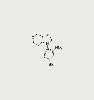 CC[C@@H](C)c1ccc(N(CC(C)C)C2CCOCC2)c([N+](=O)[O-])c1